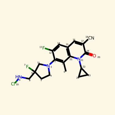 Cc1c(N2CCC(F)(CNCl)C2)c(F)cc2cc(C#N)c(=O)n(C3CC3)c12